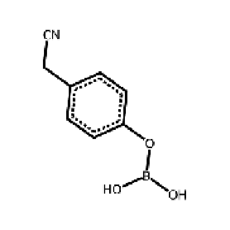 N#CCc1ccc(OB(O)O)cc1